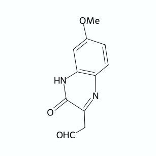 COc1ccc2nc(CC=O)c(=O)[nH]c2c1